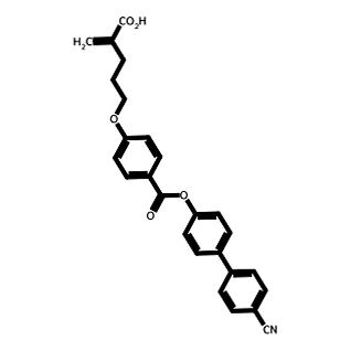 C=C(CCCOc1ccc(C(=O)Oc2ccc(-c3ccc(C#N)cc3)cc2)cc1)C(=O)O